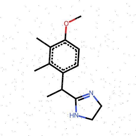 COc1ccc(C(C)C2=NCCN2)c(C)c1C